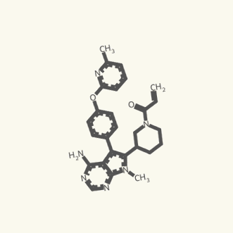 C=CC(=O)N1CCCC(c2c(-c3ccc(Oc4cccc(C)n4)cc3)c3c(N)ncnc3n2C)C1